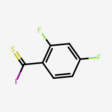 Fc1ccc(C(=S)I)c(F)c1